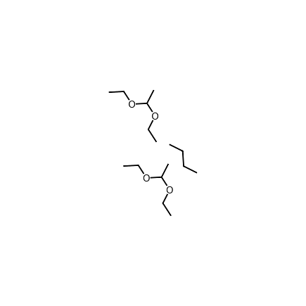 CCCC.CCOC(C)OCC.CCOC(C)OCC